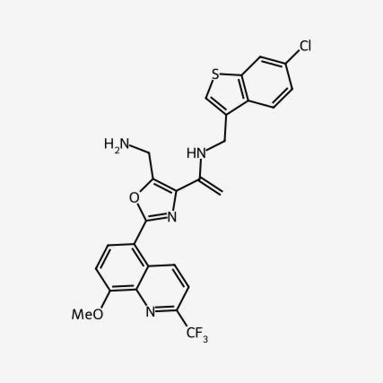 C=C(NCc1csc2cc(Cl)ccc12)c1nc(-c2ccc(OC)c3nc(C(F)(F)F)ccc23)oc1CN